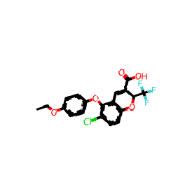 CCOc1ccc(Oc2c(Cl)ccc3c2C=C(C(=O)O)C(C(F)(F)F)O3)cc1